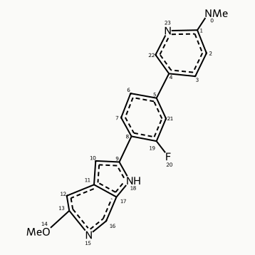 CNc1ccc(-c2ccc(-c3cc4cc(OC)ncc4[nH]3)c(F)c2)cn1